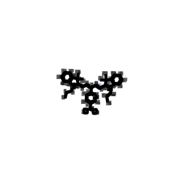 CCCN1/C(=C/C=C(/C=C/C2=[N+](CCC)c3ccccc3C2(C)C)c2ccc(C(=O)[O-])cn2)C(C)(C)c2ccccc21